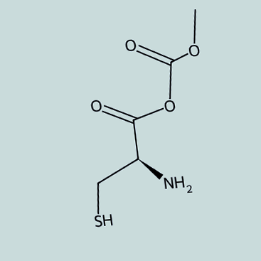 COC(=O)OC(=O)[C@@H](N)CS